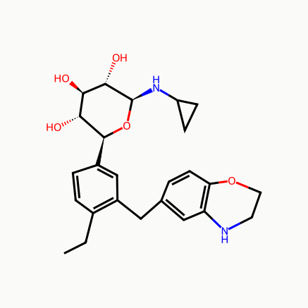 CCc1ccc([C@@H]2O[C@H](NC3CC3)[C@@H](O)[C@H](O)[C@H]2O)cc1Cc1ccc2c(c1)NCCO2